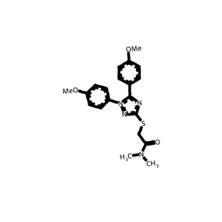 COc1ccc(-c2nc(SCC(=O)N(C)C)nn2-c2ccc(OC)cc2)cc1